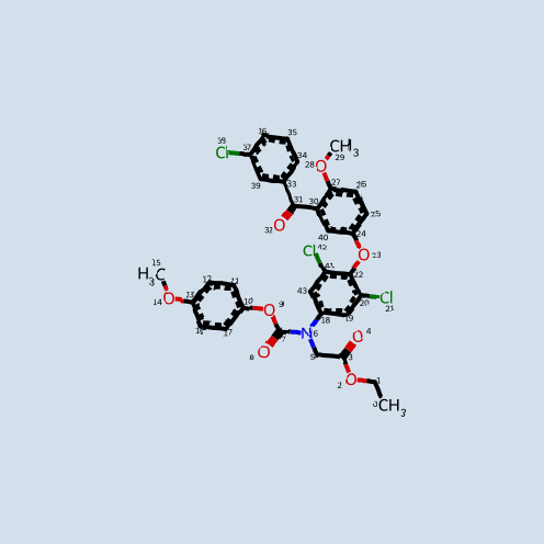 CCOC(=O)CN(C(=O)Oc1ccc(OC)cc1)c1cc(Cl)c(Oc2ccc(OC)c(C(=O)c3cccc(Cl)c3)c2)c(Cl)c1